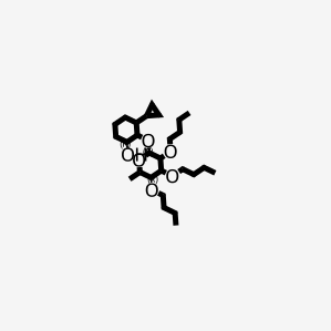 CCCCOC1C(OCCCC)[C@H](OCCCC)C(C)O[C@H]1OC1C(C2CC2)CCC[C@H]1O